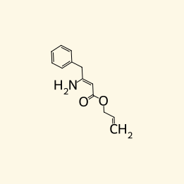 C=CCOC(=O)C=C(N)Cc1ccccc1